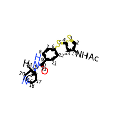 CC(=O)Nc1csc(Sc2ccc(C(=O)N[C@H]3CN4CCC3CC4)cc2)c1